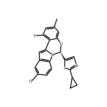 Cc1cc(F)c2c(c1)O[C@@H](c1cnc(C3CC3)s1)n1c-2cc2cc(Cl)ccc21